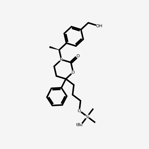 C[C@@H](c1ccc(CO)cc1)N1CCC(CCCO[Si](C)(C)C(C)(C)C)(c2ccccc2)OC1=O